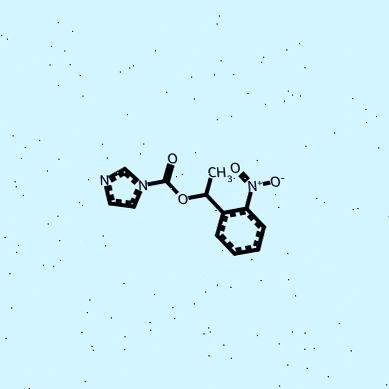 CC(OC(=O)n1ccnc1)c1ccccc1[N+](=O)[O-]